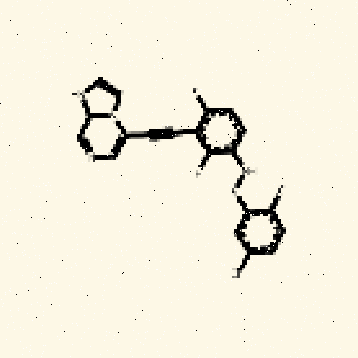 Fc1ccc(NSc2cc(Cl)ccc2Cl)c(F)c1C#CC1=CN=CC2NC=CN12